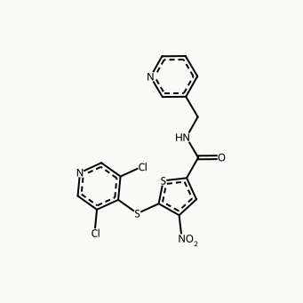 O=C(NCc1cccnc1)c1cc([N+](=O)[O-])c(Sc2c(Cl)cncc2Cl)s1